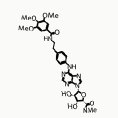 CNC(=O)[C@H]1O[C@@H](n2cnc3c(Nc4ccc(CCNC(=O)c5cc(OC)c(OC)c(OC)c5)cc4)ncnc32)[C@@H](O)[C@H]1O